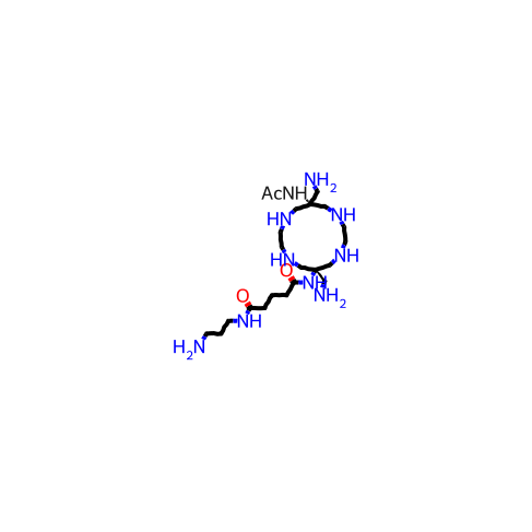 CC(=O)N[C@]1(CN)CNCCNC[C@](CN)(NC(=O)CCCC(=O)NCCCN)CNCCNC1